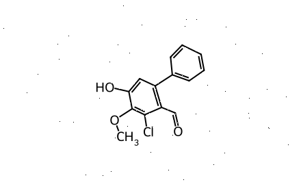 COc1c(O)cc(-c2ccccc2)c(C=O)c1Cl